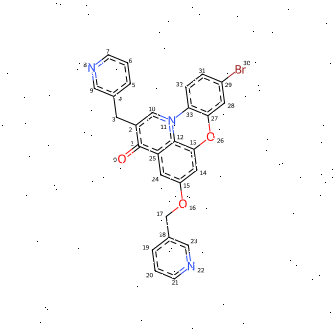 O=c1c(Cc2cccnc2)cn2c3c(cc(OCc4cccnc4)cc13)Oc1cc(Br)ccc1-2